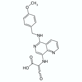 COc1ccc(CNc2ncc(NC(=C=O)C(=O)O)c3ncccc23)cc1